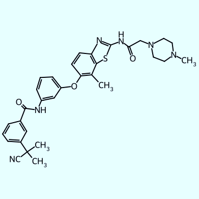 Cc1c(Oc2cccc(NC(=O)c3cccc(C(C)(C)C#N)c3)c2)ccc2nc(NC(=O)CN3CCN(C)CC3)sc12